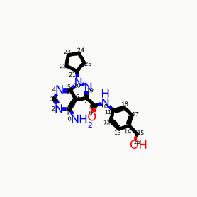 Nc1ncnc2c1c(C(=O)Nc1ccc(CO)cc1)nn2C1CCCC1